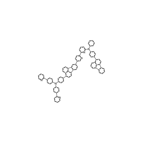 c1ccc(N(c2ccc(-c3ccc4c5c(cccc35)-c3ccccc3-4)cc2)c2cccc(-c3ccc(-c4ccc5c(c4)-c4cccc6c(-c7ccc(N(c8ccc(-c9ccccn9)cc8)c8ccc(-c9ccccn9)cc8)cc7)ccc-5c46)cn3)n2)cc1